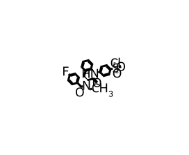 CCN(C(=O)c1ccc(F)cc1)[C@@H](Cc1ccccc1)C(=O)Nc1ccc(S(=O)(=O)Cl)cc1